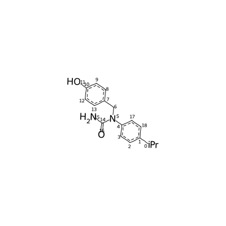 CC(C)c1ccc(N(Cc2ccc(O)cc2)C(N)=O)cc1